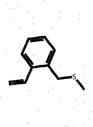 C=Cc1ccccc1CSC